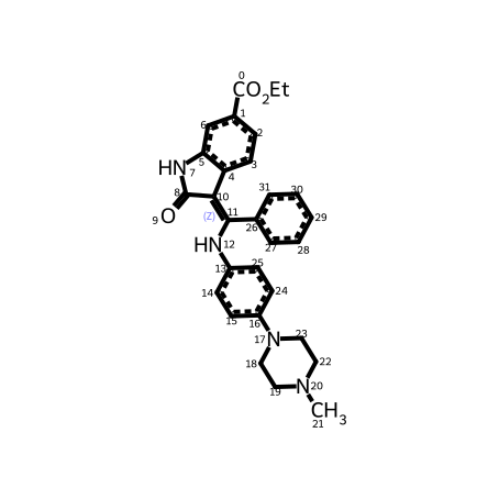 CCOC(=O)c1ccc2c(c1)NC(=O)/C2=C(\Nc1ccc(N2CCN(C)CC2)cc1)c1ccccc1